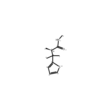 CNC(=O)[C@H](C)C(C)(C)c1cccs1